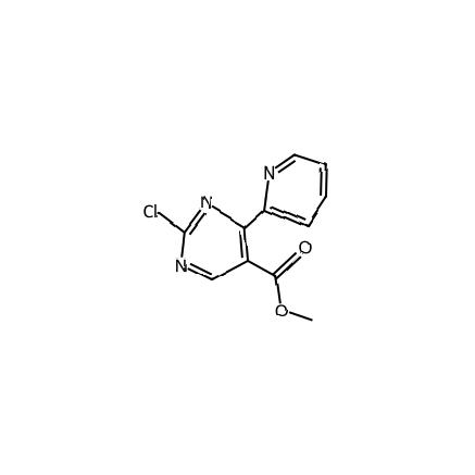 COC(=O)c1cnc(Cl)nc1-c1ccccn1